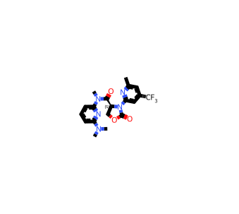 Cc1cc(C(F)(F)F)cc(N2C(=O)OC[C@H]2C(=O)N(C)c2cccc(N(C)C)n2)n1